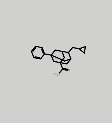 NC(=S)C12CC3CC(c4ccccc4)(CC(C1)C3CC1CC1)C2